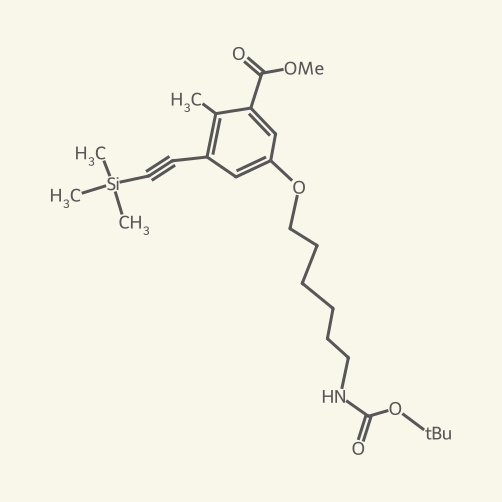 COC(=O)c1cc(OCCCCCCNC(=O)OC(C)(C)C)cc(C#C[Si](C)(C)C)c1C